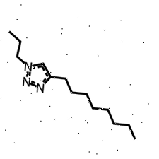 CCCCCCCCc1cn(CCC)nn1